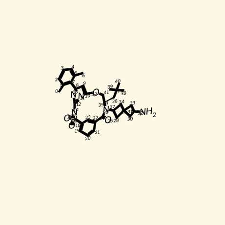 Cc1cccc(C)c1-c1cc2nc(n1)NS(=O)(=O)c1cccc(c1)C(=O)N(C1CC3(CC(N)C3)C1)[C@H](CC(C)(C)C)CO2